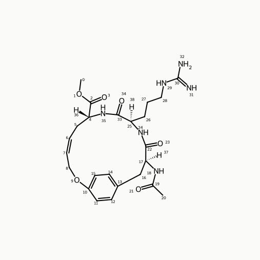 COC(=O)[C@H]1CC=CCOc2ccc(cc2)C[C@H](NC(C)=O)C(=O)N[C@H](CCCNC(=N)N)C(=O)N1